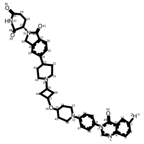 [2H]c1ccc2ncn(-c3ccc(N4CCC(OC5CC(N6CCC(c7ccc8c(c7)CN([C@@H]7CCC(=O)NC7=O)C8=O)CC6)C5)CC4)cc3)c(=O)c2c1